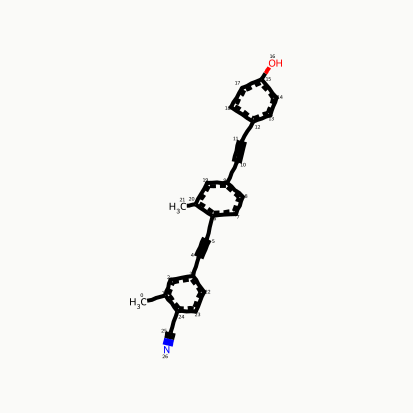 Cc1cc(C#Cc2ccc(C#Cc3ccc(O)cc3)cc2C)ccc1C#N